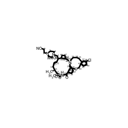 CO[C@@]1(CN2CCN(CCC#N)CC2)/C=C/C[C@H](C)[C@@H](C)S(=O)(=O)NC(=O)c2ccc3c(c2)N(CCCCc2cc(Cl)ccc2CO3)C[C@@H]2CCC21